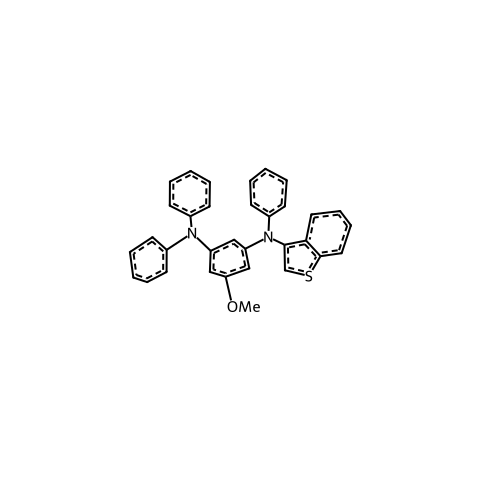 COc1cc(N(c2ccccc2)c2ccccc2)cc(N(c2ccccc2)c2csc3ccccc23)c1